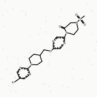 CCc1cnc(N2CCC(COc3cnc(N4CCN(S(C)(=O)=O)CC4=O)cn3)CC2)nc1